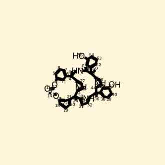 C=C1NCC2(C)c3cccc(c3)OP(C)(=O)Oc3cccc(c3)C(C)(c3ccc2[nH]3)c2ccc([nH]2)C(C)(c2cccc(O)c2)c2ccc([nH]2)C1(C)c1cccc(O)c1